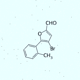 Cc1ccccc1-c1oc(C=O)cc1Br